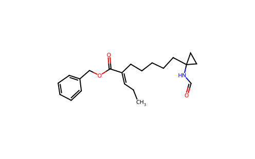 CCC=C(CCCCCC1(NC=O)CC1)C(=O)OCc1ccccc1